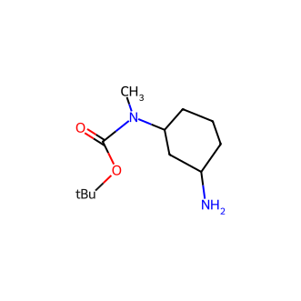 CN(C(=O)OC(C)(C)C)C1CCCC(N)C1